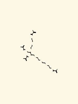 C=C(C)C(=O)OCCOCCOCCOCC(OC(=O)C(=C)C)C(COC(=O)C(=C)C)OCCOCCOC(=O)C(=C)C